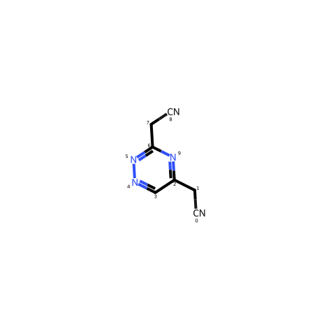 N#CCc1cnnc(CC#N)n1